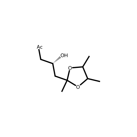 CC(=O)C[C@H](O)CC1(C)OC(C)C(C)O1